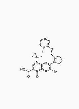 Cc1cccnc1OC[C@H]1CCCN1c1cc2c(cc1Br)c(=O)c(C(=O)O)cn2C1(C)CC1